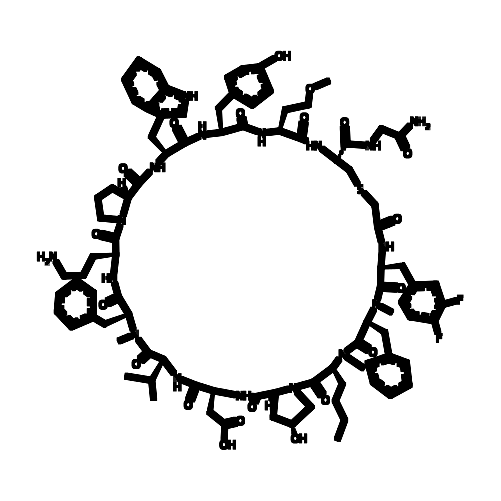 CCCC[C@H]1C(=O)N2C[C@H](O)C[C@@H]2C(=O)N[C@@H](CC(=O)O)C(=O)N[C@@H](C(C)C)C(=O)N(C)[C@@H](Cc2ccccc2)C(=O)N[C@@H](CCCN)C(=O)N2CCC[C@@H]2C(=O)N[C@@H](Cc2c[nH]c3ccccc23)C(=O)N[C@@H](Cc2ccc(O)cc2)C(=O)N[C@@H](CCOC)C(=O)N[C@H](C(=O)NCC(N)=O)CSCC(=O)N[C@@H](Cc2ccc(F)c(F)c2)C(=O)N(C)[C@@H](Cc2ccccc2)C(=O)N1C